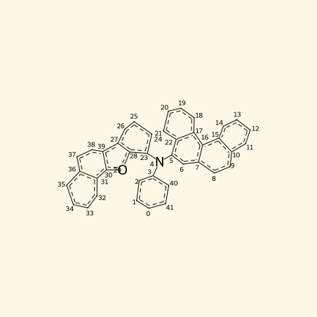 c1ccc(N(c2cc3ccc4ccccc4c3c3ccccc23)c2cccc3c2oc2c4ccccc4ccc32)cc1